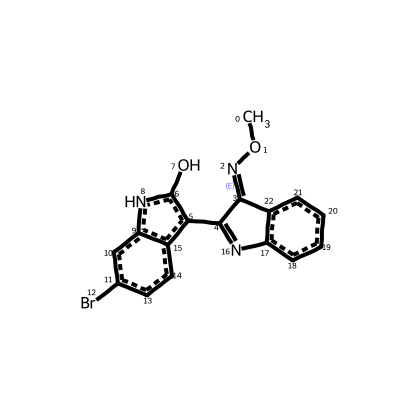 CO/N=C1/C(c2c(O)[nH]c3cc(Br)ccc23)=Nc2ccccc21